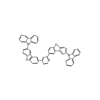 c1ccc2c(c1)c1ccccc1n2-c1ccc2oc3ccc(-c4ccnc(-c5ccc6oc7ccc(-n8c9ccccc9c9ccccc98)cc7c6c5)c4)cc3c2c1